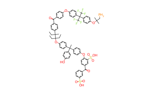 CCC(CC)(Oc1ccc(C(C)(c2ccc(O)cc2)c2ccc(Oc3ccc(C(=O)c4cccc(S(=O)(=O)O)c4)cc3S(=O)(=O)O)cc2)cc1)C(C)(CC)c1ccc(C(=O)c2ccc(Oc3ccc(C(c4ccc(OC(C)(C)CP)cc4)(C(F)(F)F)C(F)(F)F)cc3)cc2)cc1